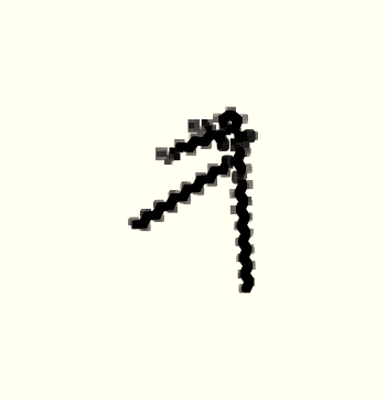 CCCCCCCCCCCCCCOCC(CNC(=O)[C@@H]1CCCN1C(=O)[C@@H](N)CCCCN)OCCCCCCCCCCCCCC